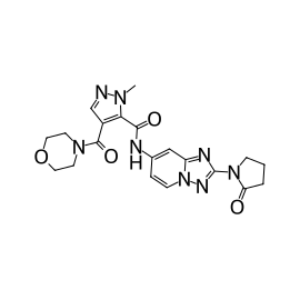 Cn1ncc(C(=O)N2CCOCC2)c1C(=O)Nc1ccn2nc(N3CCCC3=O)nc2c1